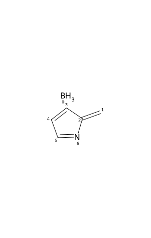 B.C=C1C=CC=N1